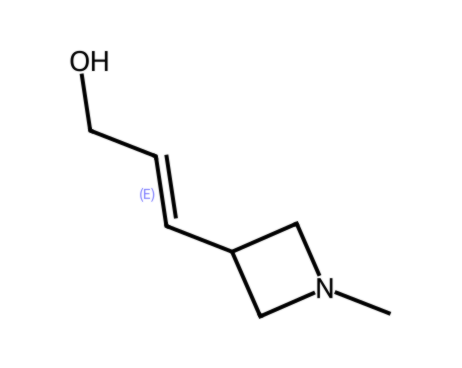 CN1CC(/C=C/CO)C1